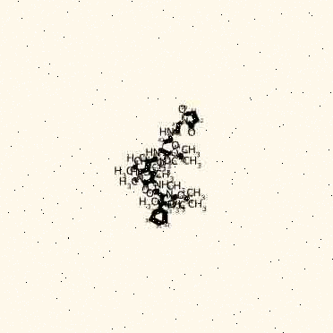 C/C(=C\[C@H](C(C)C)N(C)C(=O)C(NC(=O)[C@@H](N(C)C(=O)OC(C)(C)C)C(C)(C)c1ccccc1)C(C)(C)C)C(=O)N[C@H](CC(=O)NCCN1C(=O)C=CC1=O)C(=O)OC(C)(C)C